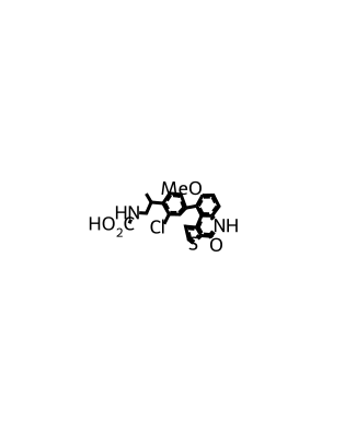 COc1ccc2[nH]c(=O)c3sccc3c2c1-c1ccc(C(C)CNC(=O)O)c(Cl)c1